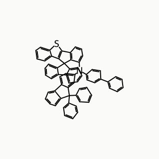 c1ccc(-c2ccc(N(c3ccc4c(c3)C(c3ccccc3)(c3ccccc3)c3ccccc3-4)c3cccc4c3C3(c5ccccc5-c5ccccc53)c3c-4sc4ccccc34)cc2)cc1